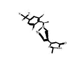 Cc1nc(-c2cnn([C@H](C)c3c(F)cc(C(F)(F)F)cc3F)c2)cc(=O)[nH]1